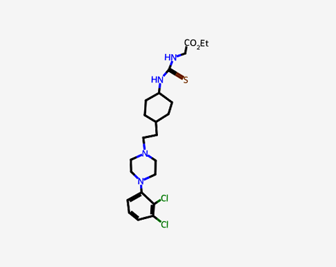 CCOC(=O)CNC(=S)NC1CCC(CCN2CCN(c3cccc(Cl)c3Cl)CC2)CC1